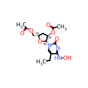 CCc1cn([C@@H]2O[C@H](COC(C)=O)C[C@H]2OC(C)=O)c(=O)nc1NO